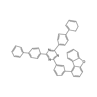 C1=CCCC(c2ccc(-c3nc(-c4ccc(-c5ccccc5)cc4)nc(-c4cccc(-c5cccc6oc7ccccc7c56)c4)n3)cc2)=C1